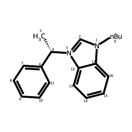 CCCCn1c[n+]([C@@H](C)c2ccccc2)c2ccccc21